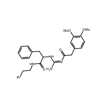 COc1ccc(CC(=O)N=C(N)NC(Cc2ccccc2)C(=O)NCCC(C)C)cc1OC